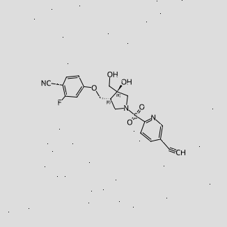 C#Cc1ccc(S(=O)(=O)N2C[C@H](COc3ccc(C#N)c(F)c3)[C@](O)(CO)C2)nc1